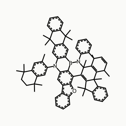 Cc1cc2c(cc1N1c3cc4c(cc3B3c5c1cc1c(oc6ccccc61)c5C1=C5C(C)(C)c6ccccc6C5(C)C5=C6C(C)(C=CC5C)c5ccccc5N3C16C)C(C)(C)c1ccccc1C4(C)C)C(C)(C)CCC2(C)C